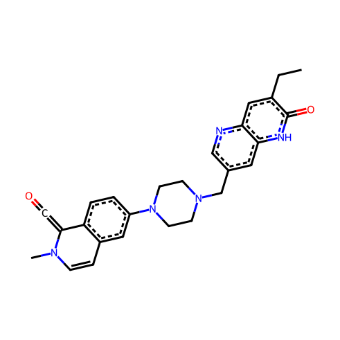 CCc1cc2ncc(CN3CCN(c4ccc5c(c4)C=CN(C)C5=C=O)CC3)cc2[nH]c1=O